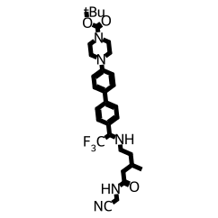 CC(CCNC(c1ccc(-c2ccc(N3CCN(C(=O)OC(C)(C)C)CC3)cc2)cc1)C(F)(F)F)CC(=O)NCC#N